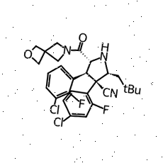 CC(C)(C)C[C@@H]1N[C@@H](C(=O)N2CC3(COC3)C2)[C@H](c2cccc(Cl)c2F)[C@@]1(C#N)c1ccc(Cl)cc1F